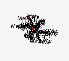 CCCN(C(=O)C(C(C)C)N1C(=O)c2cc(Oc3ccc(C(C)(C)CC[Si](OC)(OC)OC)cc3)c3c4c(Oc5ccc(C(C)(C)CC[Si](OC)(OC)OC)cc5)cc5c6c(cc(Oc7ccc(C(C)(C)CC[Si](OC)(OC)OC)cc7)c(c7c(Oc8ccc(C(C)(C)CC[Si](OC)(OC)OC)cc8)cc(c2c37)C1=O)c64)C(=O)N(C(C(=O)N(CCC)C1CCCCC1)C(C)C)C5=O)C1CCCCC1